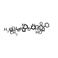 C[Si](C)(C)CCOCn1ccc2c(Oc3ccc(C[C@H](NC(=O)O)C(=O)NC4CCCCC4)nc3)ccnc21